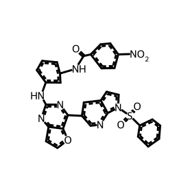 O=C(Nc1cccc(Nc2nc(-c3cnc4c(ccn4S(=O)(=O)c4ccccc4)c3)c3occc3n2)c1)c1ccc([N+](=O)[O-])cc1